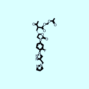 CC(=O)OCOC(=O)C(C[C@H]1CN(c2ccc(-n3cc(Cn4cccn4)nn3)c(F)c2)C(=O)O1)C(C)=O